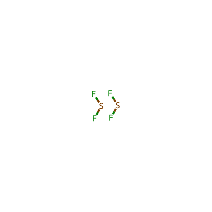 FSF.FSF